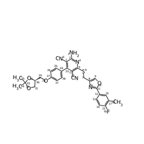 [C-]#[N+]c1c(N)nc(SCc2coc(-c3ccc(F)c(C)c3)n2)c(C#N)c1-c1ccc(OC[C@H]2COC(C)(C)O2)cc1